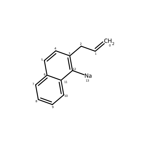 C=CCc1ccc2ccccc2[c]1[Na]